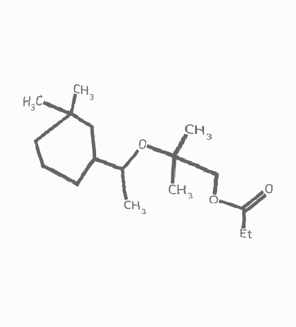 CCC(=O)OCC(C)(C)OC(C)C1CCCC(C)(C)C1